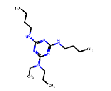 CCCCNc1nc(NCCCC)nc(N(CC)CCC)n1